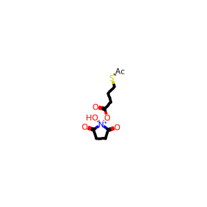 CC(=O)SCCCC(=O)O[N+]1(O)C(=O)CCC1=O